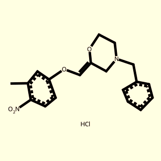 Cc1cc(OC=C2CN(Cc3ccccc3)CCO2)ccc1[N+](=O)[O-].Cl